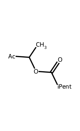 CCCC(C)C(=O)OC(C)C(C)=O